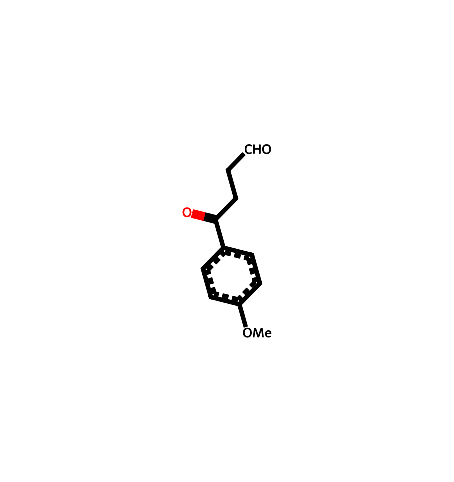 COc1ccc(C(=O)CCC=O)cc1